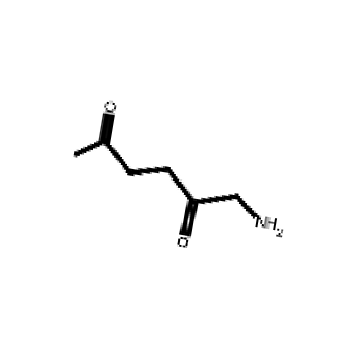 CC(=O)CCC(=O)CN